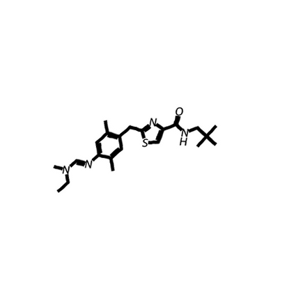 CCN(C)/C=N/c1cc(C)c(Cc2nc(C(=O)NCC(C)(C)C)cs2)cc1C